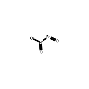 [O]=[Fe][N+](=O)[O-]